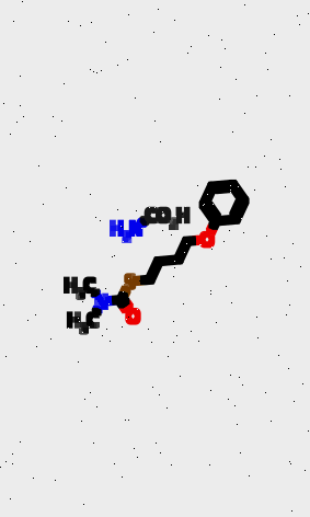 CN(C)C(=O)SCCCCOc1ccccc1.NC(=O)O